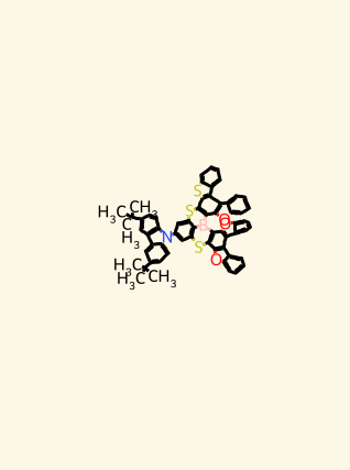 CC(C)(C)c1ccc2c(c1)c1cc(C(C)(C)C)ccc1n2-c1cc2c3c(c1)Sc1c(c4oc5ccccc5c4c4c1sc1ccccc14)B3c1c(c3oc4ccccc4c3c3c1oc1ccccc13)S2